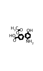 CC(=O)Oc1ccccc1C(=O)O.Nc1ccc(O)cc1